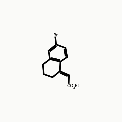 CCOC(=O)C=C1CCCc2cc(Br)ccc21